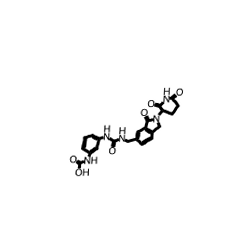 O=C(O)Nc1cccc(NC(=O)NCc2ccc3c(c2)C(=O)N(C2CCC(=O)NC2=O)C3)c1